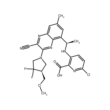 COC[C@@H]1CN(c2nc3c([C@@H](C)Nc4ccc(Cl)nc4C(=O)O)cc(C)cc3nc2C#N)CC1(F)F